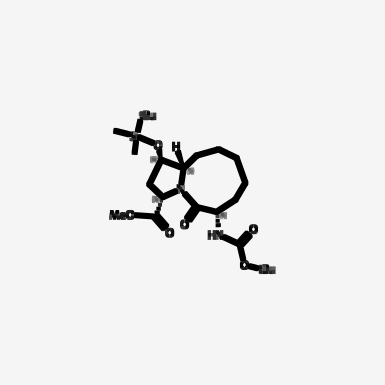 COC(=O)[C@@H]1C[C@@H](O[Si](C)(C)C(C)(C)C)[C@@H]2CCCCC[C@H](NC(=O)OC(C)(C)C)C(=O)N12